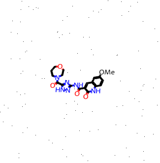 COc1ccc2[nH]c(=O)c(C(=O)Nc3n[nH]c(C(=O)N4CCCOCC4)n3)cc2c1